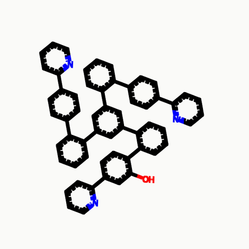 Oc1cc(-c2ccccn2)ccc1-c1ccccc1-c1cc(-c2ccccc2-c2ccc(-c3ccccn3)cc2)cc(-c2ccccc2-c2ccc(-c3ccccn3)cc2)c1